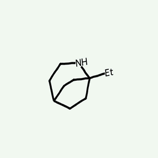 CCC12CCC(CCN1)CC2